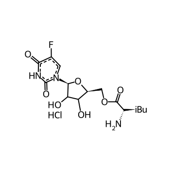 CC[C@H](C)[C@H](N)C(=O)OC[C@@H]1O[C@H](n2cc(F)c(=O)[nH]c2=O)C(O)C1O.Cl